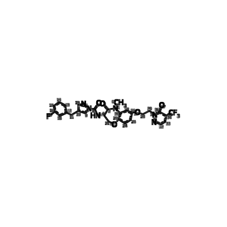 CN1C(=O)[C@@H](NC(=O)n2cc(Cc3cccc(F)c3)cn2)COc2ccc(OCCn3nccc(C(F)(F)F)c3=O)cc21